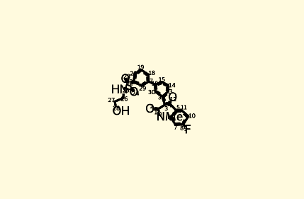 CNC(=O)c1c(-c2ccc(F)cc2)oc2ccc(-c3cccc(S(=O)(=O)NCCO)c3)cc12